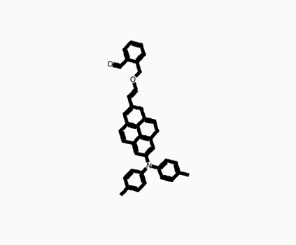 Cc1ccc(N(c2ccc(C)cc2)c2cc3c4c5c(ccc4c2)C=C(C=COCc2ccccc2C=O)CC5=CC3)cc1